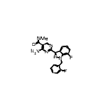 CNC(=O)c1cnc(-c2nn(Cc3ccccc3F)c3c(F)cccc23)nc1N